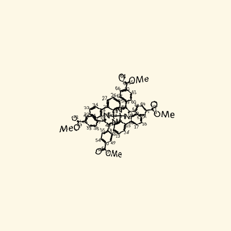 COC(=O)c1ccc(C2=NC(c3ccccc3-c3ccccc3)(C3(c4ccccc4-c4ccccc4)N=C(c4ccc(C(=O)OC)cc4)C(c4ccc(C(=O)OC)cc4)=N3)N=C2c2ccc(C(=O)OC)cc2)cc1